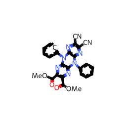 COC(=O)c1nc2c(nc1C(=O)OC)N(c1ccccc1)c1nc(C#N)c(C#N)nc1N2c1ccccc1